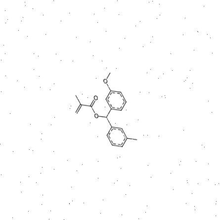 C=C(C)C(=O)OC(c1cccc(C)c1)c1cccc(OC)c1